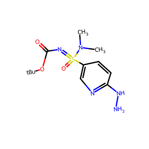 CN(C)S(=O)(=NC(=O)OC(C)(C)C)c1ccc(NN)nc1